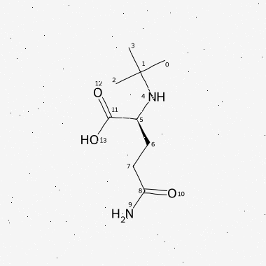 CC(C)(C)N[C@@H](CCC(N)=O)C(=O)O